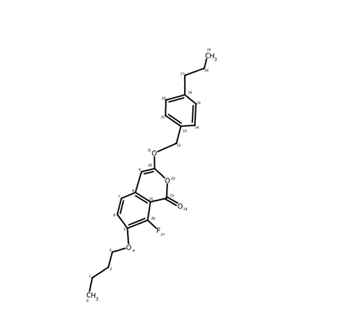 CCCCOc1ccc2cc(OCc3ccc(CCC)cc3)oc(=O)c2c1F